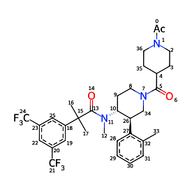 CC(=O)N1CCC(C(=O)N2CC[C@@H](N(C)C(=O)C(C)(C)c3cc(C(F)(F)F)cc(C(F)(F)F)c3)[C@H](c3ccccc3C)C2)CC1